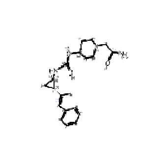 C/C(=C\c1ccccc1)[C@@H]1C[C@H]1NC(=O)OC1CCN(CC(N)=O)CC1